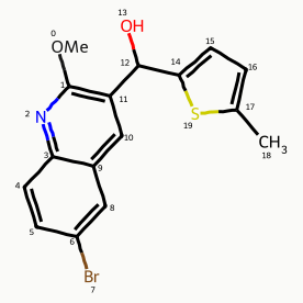 COc1nc2ccc(Br)cc2cc1C(O)c1ccc(C)s1